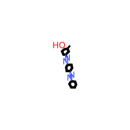 Cc1cc(/N=N/c2ccc(/N=N/c3ccccc3)cc2)ccc1O